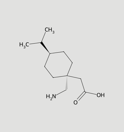 CC(C)[C@H]1CC[C@@](CN)(CC(=O)O)CC1